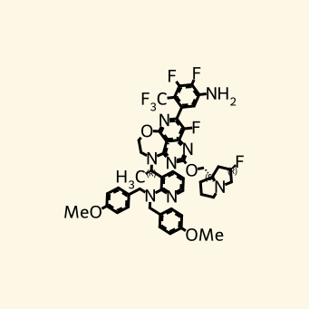 COc1ccc(CN(Cc2ccc(OC)cc2)c2ncccc2[C@@H](C)N2CCOc3nc(-c4cc(N)c(F)c(F)c4C(F)(F)F)c(F)c4nc(OC[C@@]56CCCN5C[C@H](F)C6)nc2c34)cc1